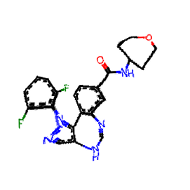 O=C(NC1CCOCC1)c1ccc2c(c1)N=CNc1cnn(-c3c(F)cccc3F)c1-2